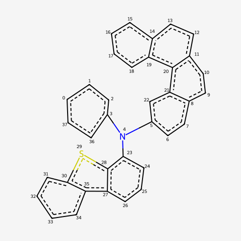 c1ccc(N(c2ccc3ccc4ccc5ccccc5c4c3c2)c2cccc3c2sc2ccccc23)cc1